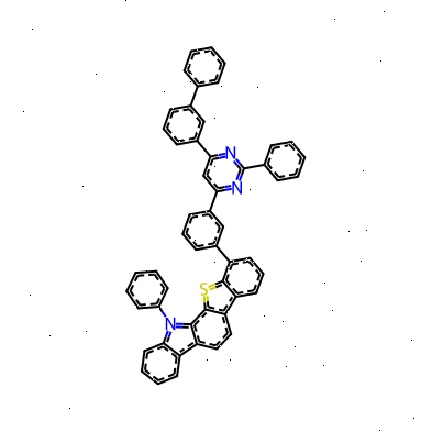 c1ccc(-c2cccc(-c3cc(-c4cccc(-c5cccc6c5sc5c6ccc6c7ccccc7n(-c7ccccc7)c65)c4)nc(-c4ccccc4)n3)c2)cc1